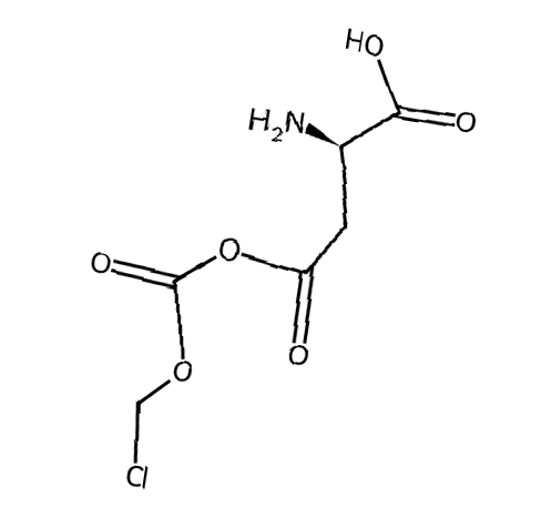 N[C@H](CC(=O)OC(=O)OCCl)C(=O)O